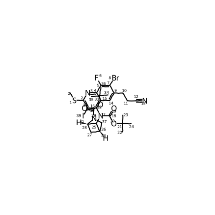 CSc1nc2c(F)c(Br)c(CCC#N)cc2c(N(C(=O)OC(C)(C)C)C2[C@H]3C[C@@H]2N(C(=O)OC(C)(C)C)C3)c1I